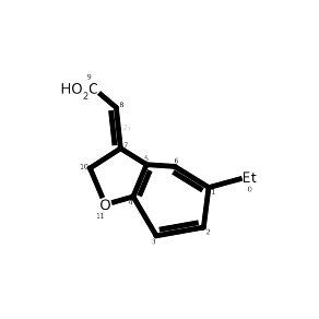 CCc1ccc2c(c1)/C(=C/C(=O)O)CO2